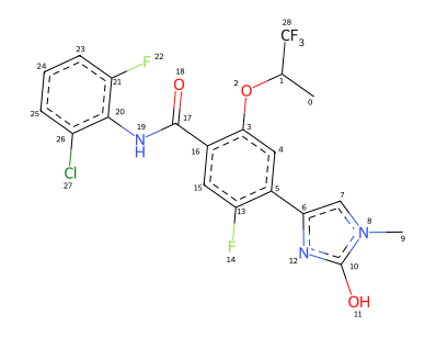 CC(Oc1cc(-c2cn(C)c(O)n2)c(F)cc1C(=O)Nc1c(F)cccc1Cl)C(F)(F)F